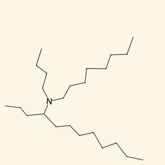 CCCCCCCCC(CCC)N(CCCC)CCCCCCCC